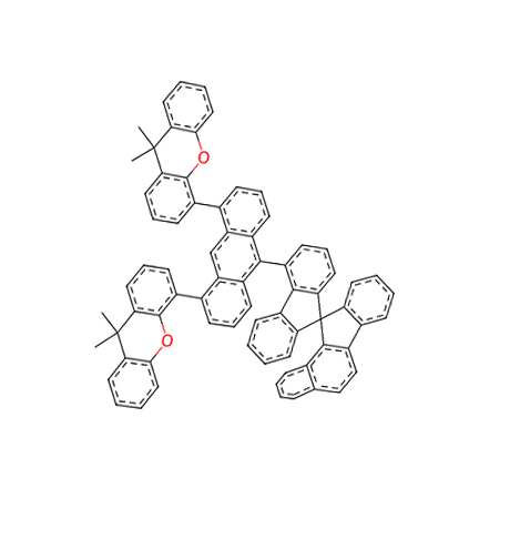 CC1(C)c2ccccc2Oc2c(-c3cccc4c(-c5cccc6c5-c5ccccc5C65c6ccccc6-c6ccc7ccccc7c65)c5cccc(-c6cccc7c6Oc6ccccc6C7(C)C)c5cc34)cccc21